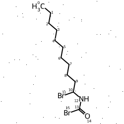 CCCCCCCCCCC(Br)NC(=O)Br